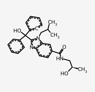 CC(C)Cn1c(C(O)(c2ccccc2)c2ccccc2)nc2ccc(C(=O)NC[C@@H](C)O)cc21